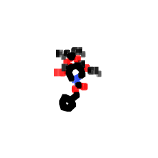 CO[C@H]1CN(C(=O)OCc2ccccc2)C[C@@H](O)[C@@H]2OC(C)(C)O[C@@H]21